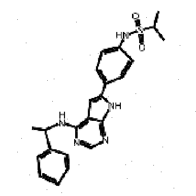 CC(Nc1ncnc2[nH]c(-c3ccc(NS(=O)(=O)C(C)C)cc3)cc12)c1ccccc1